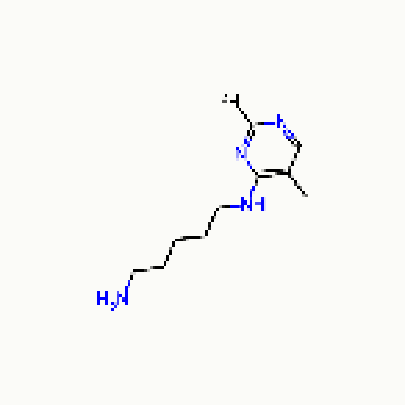 [2H]c1ncc(C)c(NCCCCCN)n1